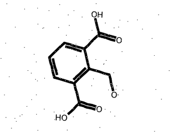 [O]Cc1c(C(=O)O)cccc1C(=O)O